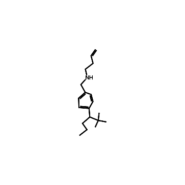 C=CCCNCc1ccc(C(CCC)C(C)(C)C)cc1